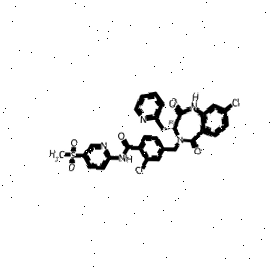 CS(=O)(=O)c1ccc(NC(=O)c2ccc(CN3C(=O)c4ccc(Cl)cc4NC(=O)[C@H]3Cc3ccccn3)cc2Cl)nc1